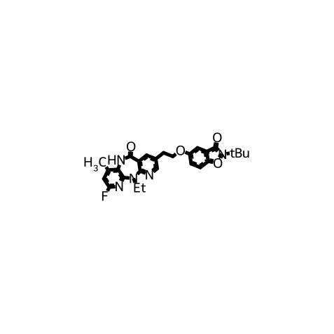 CCN1c2ncc(CCOc3ccc4on(C(C)(C)C)c(=O)c4c3)cc2C(=O)Nc2c(C)cc(F)nc21